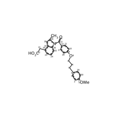 COc1ccc(CCCOc2ccc(C(=O)n3c(C)cc4c(CC(=O)O)cccc43)cc2)cc1